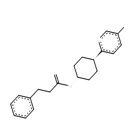 O=C(CCc1ccccc1)N[C@H]1CC[C@H](c2ccc(O)cn2)CC1